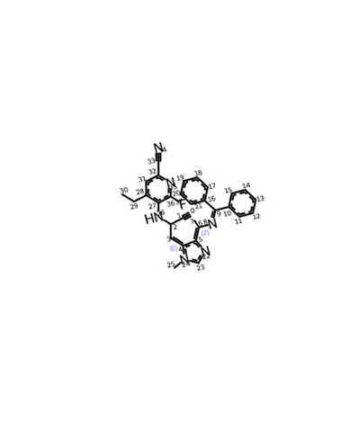 C#CC(/C=c1\c(=C(/C)N=C(c2ccccc2)c2ccccc2)ncn1C)Nc1c(CC)cc(C#N)nc1F